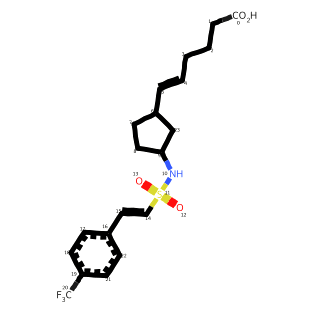 O=C(O)CCCC=CC1CCC(NS(=O)(=O)C=Cc2ccc(C(F)(F)F)cc2)C1